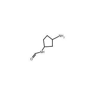 NC1CCC(N[C]=O)C1